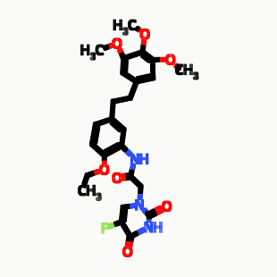 CCOc1ccc(CCc2cc(OC)c(OC)c(OC)c2)cc1NC(=O)Cn1cc(F)c(=O)[nH]c1=O